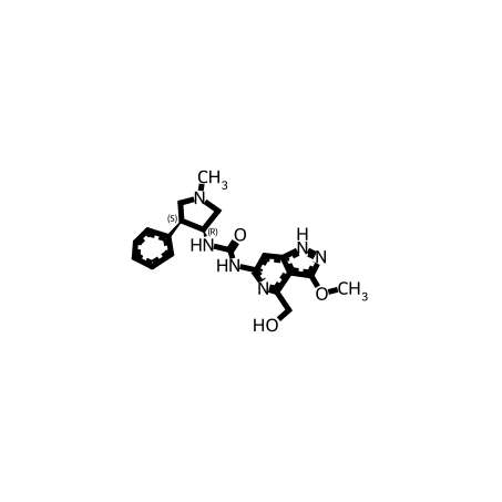 COc1n[nH]c2cc(NC(=O)N[C@H]3CN(C)C[C@@H]3c3ccccc3)nc(CO)c12